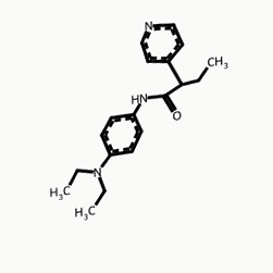 CCC(C(=O)Nc1ccc(N(CC)CC)cc1)c1ccncc1